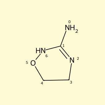 NC1=NCCON1